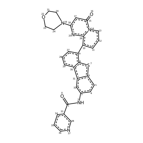 O=C(Nc1ccc2sc3c(-c4cccn5c(=O)cc(N6CCOCC6)nc45)cccc3c2c1)c1cccnc1